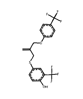 C=C(COc1ccc(C(F)(F)F)cc1)CSc1ccc(O)c(C(F)(F)F)c1